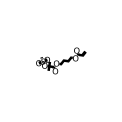 C=CC(=O)OCCCCOC(=O)C(C)(C)OS(C)(=O)=O